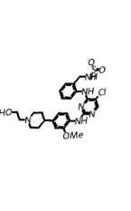 COc1cc(C2CCN(CCO)CC2)ccc1Nc1ncc(Cl)c(Nc2ccccc2CN[SH](=O)=O)n1